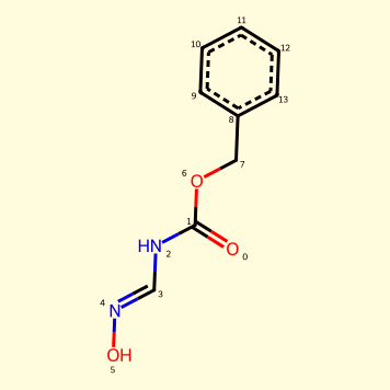 O=C(NC=NO)OCc1ccccc1